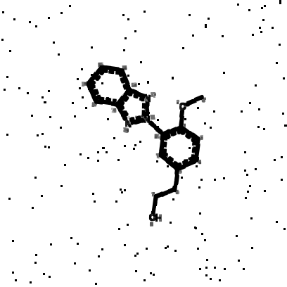 COc1ccc(CCO)cc1-n1nc2ccccc2n1